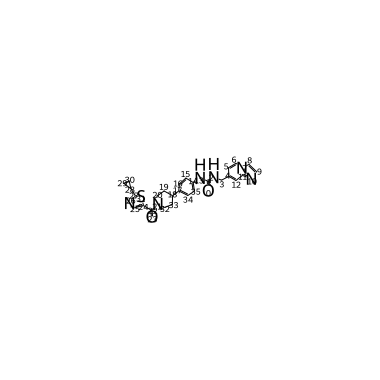 O=C(NCc1ccn2ccnc2c1)Nc1ccc(C2CCN(C(=O)c3cnc(C4CC4)s3)CC2)cc1